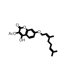 CC(=O)Oc1c(O)c2ccc(OCC=C(C)CCC=C(C)C)cc2oc1=O